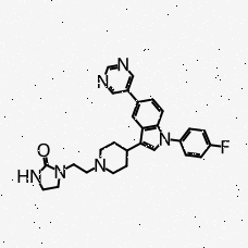 O=C1NCCN1CCN1CCC(c2cn(-c3ccc(F)cc3)c3ccc(-c4cncnc4)cc23)CC1